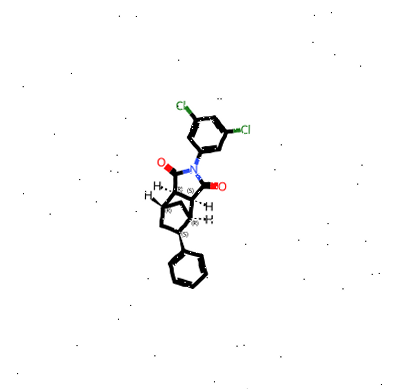 O=C1[C@@H]2[C@@H]3C[C@@H]([C@@H]2C(=O)N1c1cc(Cl)cc(Cl)c1)[C@@H](c1ccccc1)C3